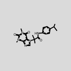 CC(C)c1ccc(NC(=O)C(C)(C)n2cnc3c2c(=O)n(C)c(=O)n3C)cc1